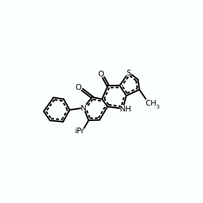 Cc1csc2c(=O)c3c(=O)n(-c4ccccc4)c(C(C)C)cc3[nH]c12